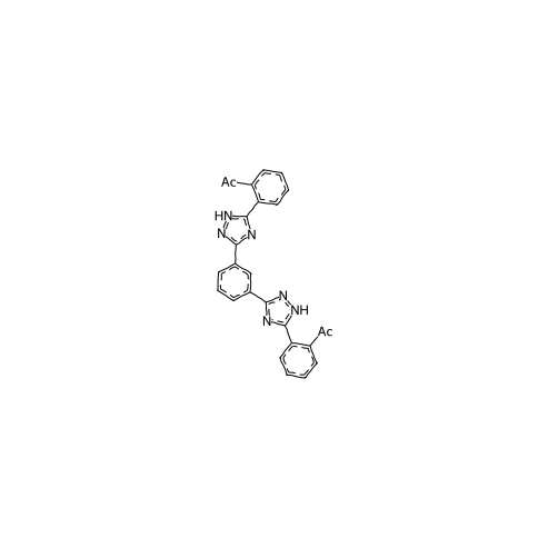 CC(=O)c1ccccc1-c1nc(-c2cccc(-c3n[nH]c(-c4ccccc4C(C)=O)n3)c2)n[nH]1